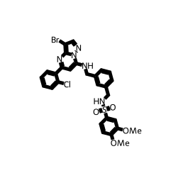 COc1ccc(S(=O)(=O)NCc2cccc(CNc3cc(-c4ccccc4Cl)nc4c(Br)cnn34)c2)cc1OC